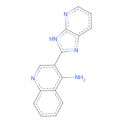 Nc1c(-c2nc3cccnc3[nH]2)cnc2ccccc12